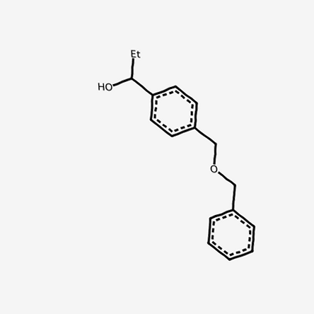 CCC(O)c1ccc(COCc2ccccc2)cc1